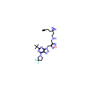 C#CCCC1(CCNCc2nonc2Cn2nnc3c(N4CCC(F)(F)C4)nc(C(C)(C)C)nc32)N=N1